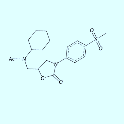 CC(=O)N(CC1CN(c2ccc(S(C)(=O)=O)cc2)C(=O)O1)C1CCCCC1